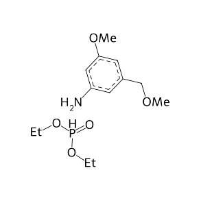 CCO[PH](=O)OCC.COCc1cc(N)cc(OC)c1